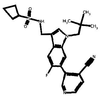 CC(C)(C)Cn1cc(CNS(=O)(=O)C2CCC2)c2cc(F)c(-c3cnccc3C#N)cc21